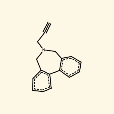 C#CCN1Cc2ccccc2-c2ccccc2C1